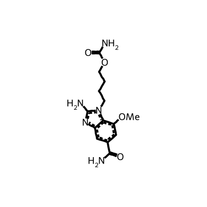 COc1cc(C(N)=O)cc2nc(N)n(CCCCOC(N)=O)c12